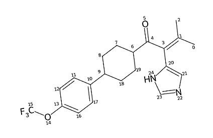 CC(C)=C(C(=O)C1CCC(c2ccc(OC(F)(F)F)cc2)CC1)c1cnc[nH]1